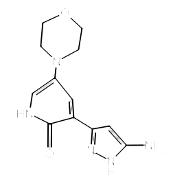 Nc1cc(-c2cc(N3CCOCC3)c[nH]c2=O)n[nH]1